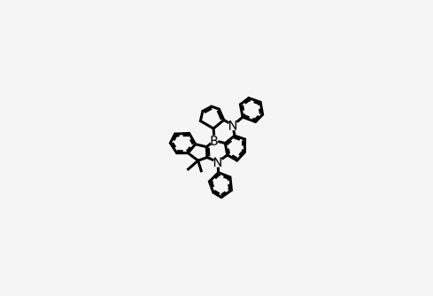 CC1(C)C2=C(B3c4c(cccc4N2c2ccccc2)N(c2ccccc2)C2=CC=CCC32)c2ccccc21